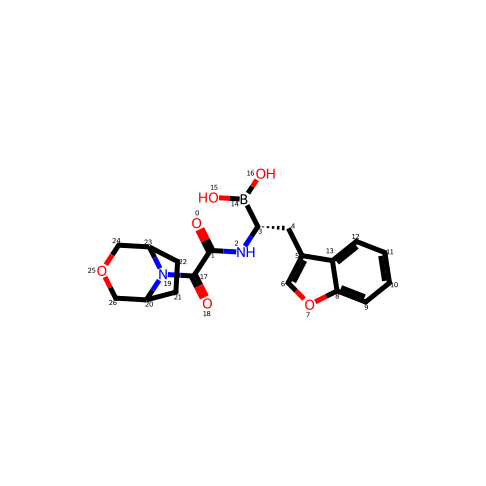 O=C(N[C@@H](Cc1coc2ccccc12)B(O)O)C(=O)N1C2CCC1COC2